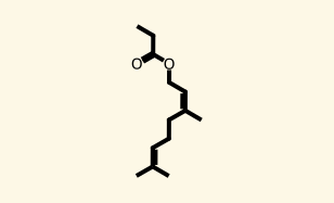 CCC(=O)OC/C=C(/C)CCC=C(C)C